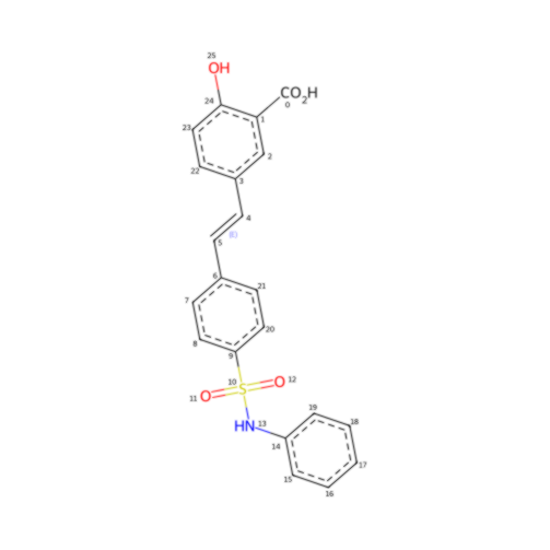 O=C(O)c1cc(/C=C/c2ccc(S(=O)(=O)Nc3ccccc3)cc2)ccc1O